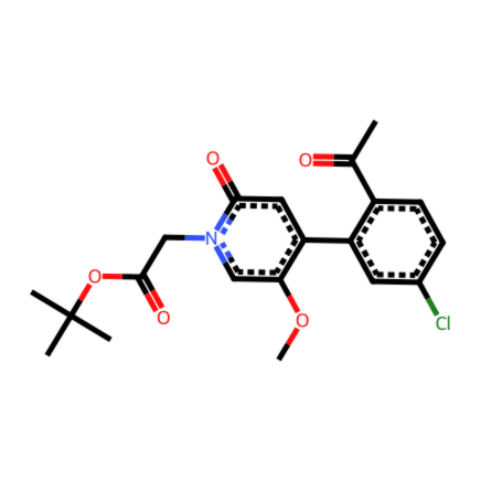 COc1cn(CC(=O)OC(C)(C)C)c(=O)cc1-c1cc(Cl)ccc1C(C)=O